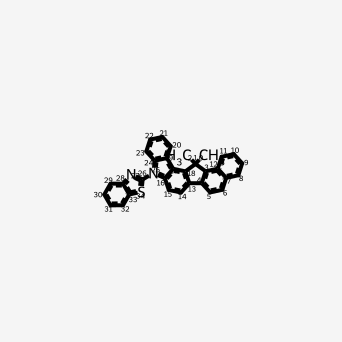 CC1(C)c2c(ccc3ccccc23)-c2ccc3c(c21)c1ccccc1n3-c1nc2ccccc2s1